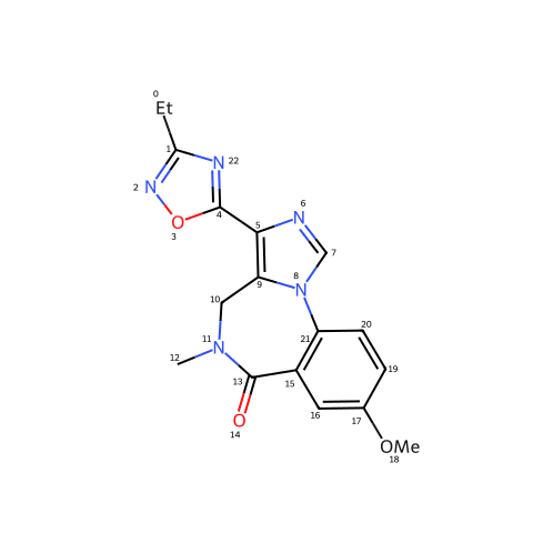 CCc1noc(-c2ncn3c2CN(C)C(=O)c2cc(OC)ccc2-3)n1